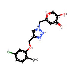 O=Cc1ccc(Cl)cc1OCc1cn(Cc2cc(=O)c(O)co2)nn1